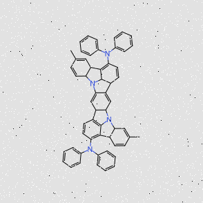 CC1=CC2C3=C(N(c4ccccc4)c4ccccc4)C=CC4C5=CC6C(C=C5N(C2C=C1)C34)c1ccc(N(c2ccccc2)c2ccccc2)c2c1N6C1C=C(C)C=CC21